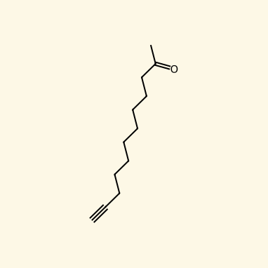 C#CCCCCCCCCC(C)=O